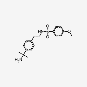 COc1ccc(S(=O)(=O)NCCc2ccc(C(C)(C)N)cc2)cc1